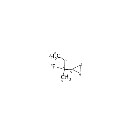 [CH2]CC(C)(F)[C]1CC1